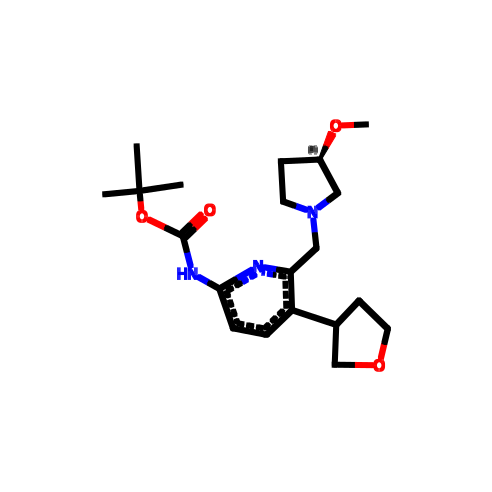 CO[C@@H]1CCN(Cc2nc(NC(=O)OC(C)(C)C)ccc2C2CCOC2)C1